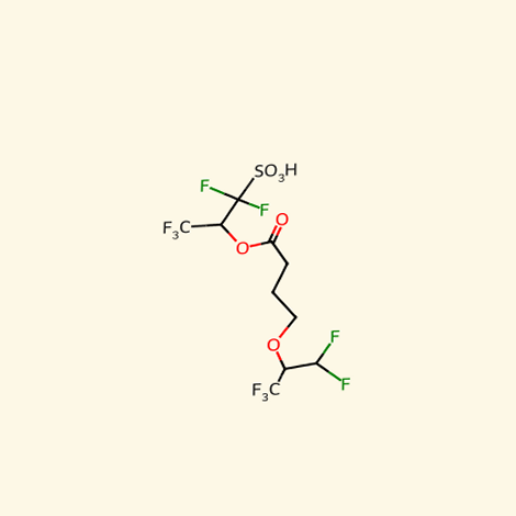 O=C(CCCOC(C(F)F)C(F)(F)F)OC(C(F)(F)F)C(F)(F)S(=O)(=O)O